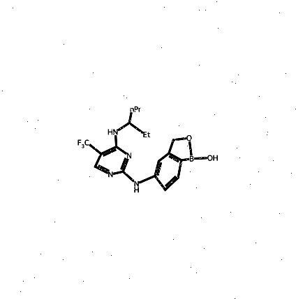 CCCC(CC)Nc1nc(Nc2ccc3c(c2)COB3O)ncc1C(F)(F)F